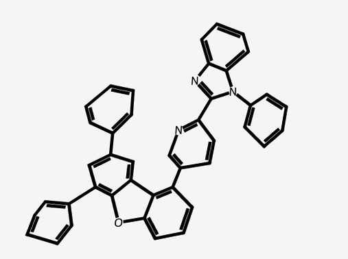 c1ccc(-c2cc(-c3ccccc3)c3oc4cccc(-c5ccc(-c6nc7ccccc7n6-c6ccccc6)nc5)c4c3c2)cc1